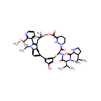 CCn1c(-c2cccnc2[C@H](C)OC)c2c3cc(ccc31)-c1cc(O)cc(c1)C[C@H](NC(=O)[C@H](C(C)C)N(C)C(=O)C1NCCC1C(C)C)C(=O)N1CCC[C@H](N1)C(=O)OCC(C)(C)C2